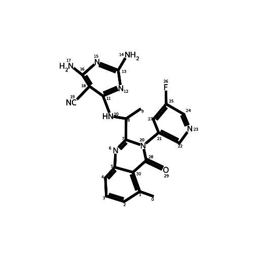 Cc1cccc2nc(C(C)Nc3nc(N)nc(N)c3C#N)n(-c3cncc(F)c3)c(=O)c12